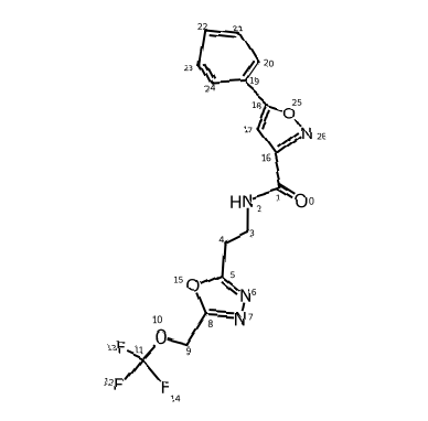 O=C(NCCc1nnc(COC(F)(F)F)o1)c1cc(-c2ccccc2)on1